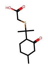 CC1CCC(C(C)(C)SCC(=O)O)C(=O)C1